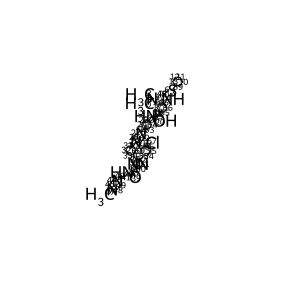 CN(C)CC[C@H](CSc1ccccc1)Nc1ccc(P(O)Nc2ccc(N3CCN(c4cccc(-c5nc(C(=O)NCCN6CCN(C)CC6)cnc5C5C=CC(Cl)=CC5)c4)CC3)cc2)cc1